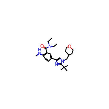 CCN(CC)C(=O)c1cc(-c2cn(CC3CCOCC3)c(C(C)(C)C)n2)ccc1NC